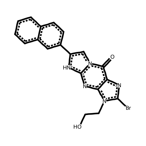 O=c1c2nc(Br)n(CCO)c2nc2[nH]c(-c3ccc4ccccc4c3)cn12